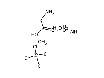 NCC(=O)O.O.O.O.[AlH3].[Cl][Zr]([Cl])([Cl])[Cl]